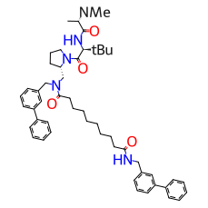 CN[C@@H](C)C(=O)N[C@H](C(=O)N1CCC[C@H]1CN(Cc1cccc(-c2ccccc2)c1)C(=O)CCCCCCCCC(=O)NCc1cccc(-c2ccccc2)c1)C(C)(C)C